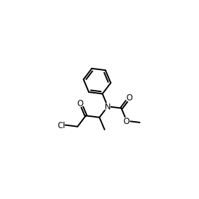 COC(=O)N(c1ccccc1)C(C)C(=O)CCl